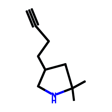 C#CCCC1CNC(C)(C)C1